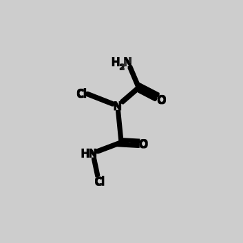 NC(=O)N(Cl)C(=O)NCl